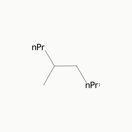 [CH2]CCC(C)C[C]CC